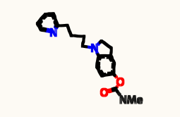 CNC(=O)Oc1ccc2c(c1)CCN2CCCCc1ccccn1